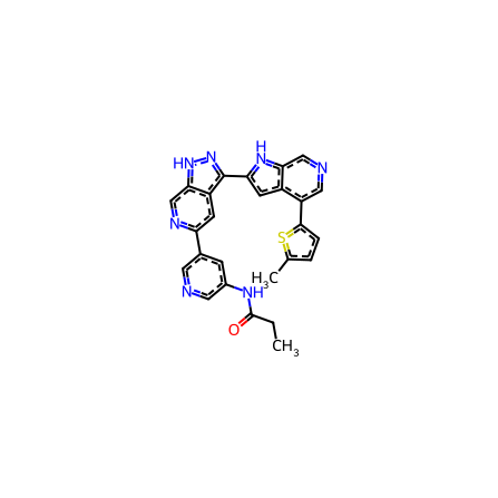 CCC(=O)Nc1cncc(-c2cc3c(-c4cc5c(-c6ccc(C)s6)cncc5[nH]4)n[nH]c3cn2)c1